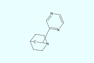 c1cnc(C2CC3CCN2CC3)cn1